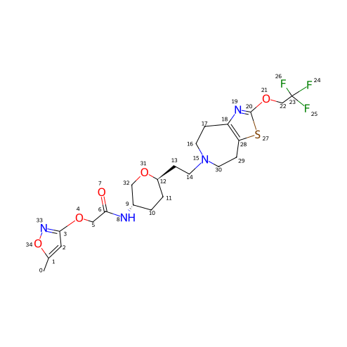 Cc1cc(OCC(=O)N[C@H]2CC[C@H](CCN3CCc4nc(OCC(F)(F)F)sc4CC3)OC2)no1